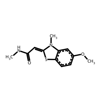 CNC(=O)/C=C1\Sc2ccc(OC)cc2N1C